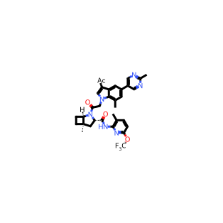 CC(=O)c1cn(CC(=O)N2[C@H](C(=O)Nc3nc(OC(F)(F)F)ccc3C)C[C@@]3(C)CC[C@@H]23)c2c(C)cc(-c3cnc(C)nc3)cc12